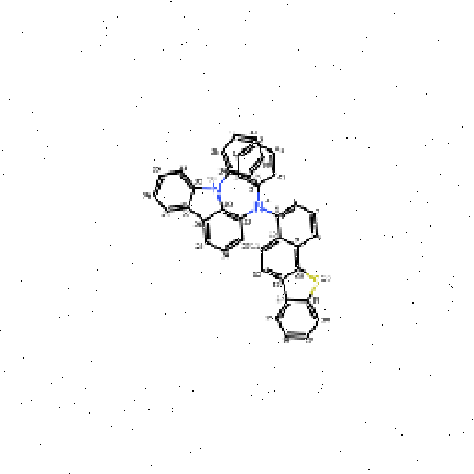 c1ccc(N(c2cccc3c2ccc2c4ccccc4sc32)c2cccc3c4ccccc4n(-c4ccccc4)c23)cc1